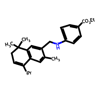 CCOC(=O)c1ccc(NCc2cc3c(cc2C)C(C(C)C)=CCC3(C)C)cc1